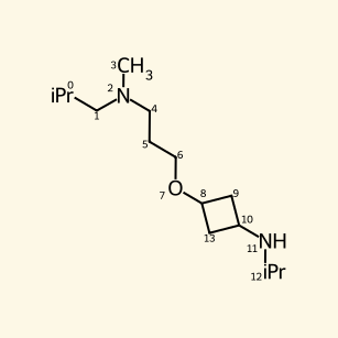 CC(C)CN(C)CCCOC1CC(NC(C)C)C1